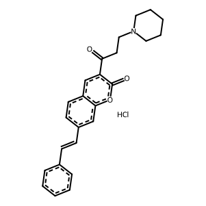 Cl.O=C(CCN1CCCCC1)c1cc2ccc(C=Cc3ccccc3)cc2oc1=O